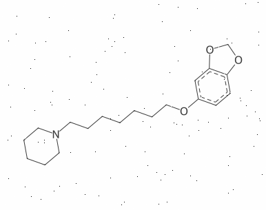 c1cc2c(cc1OCCCCCCCN1CCCCC1)OCO2